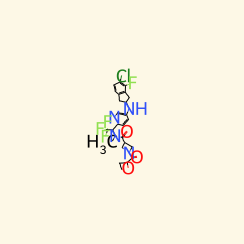 CN(C(=O)C1CN(C(=O)C2CCO2)C1)C(c1ccc(NC2Cc3ccc(Cl)c(F)c3C2)cn1)C(F)(F)F